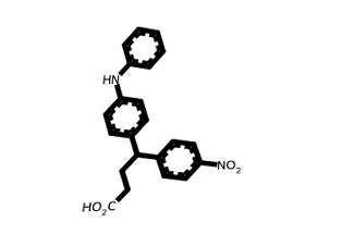 O=C(O)CCC(c1ccc(Nc2ccccc2)cc1)c1ccc([N+](=O)[O-])cc1